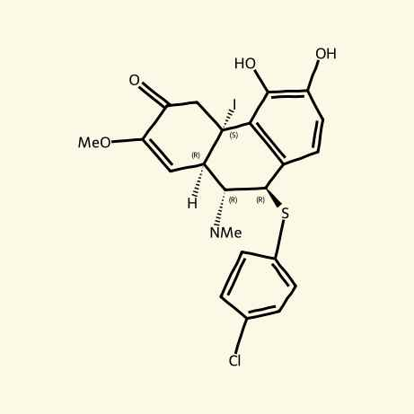 CN[C@H]1[C@H](Sc2ccc(Cl)cc2)c2ccc(O)c(O)c2[C@]2(I)CC(=O)C(OC)=C[C@H]12